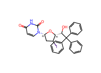 O=c1ccn([C@H]2CC(I)[C@@H](C(O)C(c3ccccc3)(c3ccccc3)c3ccccc3)O2)c(=O)[nH]1